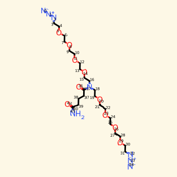 [N-]=[N+]=NCCOCCOCCOCCOCCN(CCOCCOCCOCCOCCN=[N+]=[N-])C(=O)CCCC(N)=O